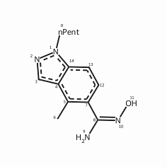 CCCCCn1ncc2c(C)c(/C(N)=N\O)ccc21